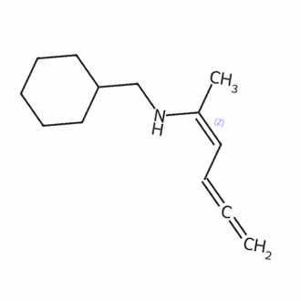 C=C=C/C=C(/C)NCC1CCCCC1